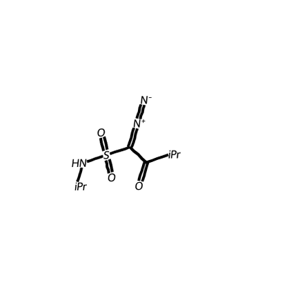 CC(C)NS(=O)(=O)C(=[N+]=[N-])C(=O)C(C)C